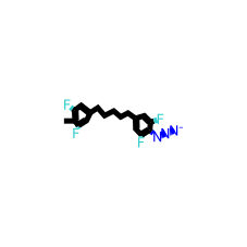 Cc1c(F)cc(CCCCCc2cc(F)c(N=[N+]=[N-])c(F)c2)cc1F